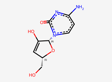 Nc1ccn([C@@H]2O[C@H](CO)C=C2O)c(=O)n1